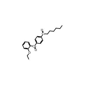 CCCCC[CH2][Co](=[O])[c]1cc[c]([Co](=[O])[c]2ccccc2OCC)cc1